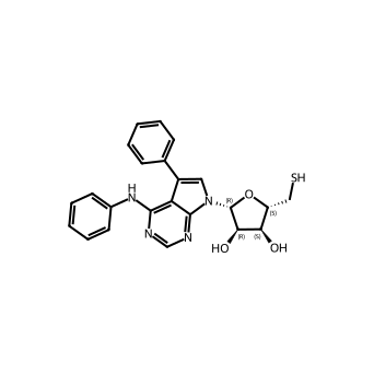 O[C@@H]1[C@H](O)[C@@H](CS)O[C@H]1n1cc(-c2ccccc2)c2c(Nc3ccccc3)ncnc21